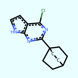 Clc1nc(C23CCC(CC2)CC3)nc2[nH]ccc12